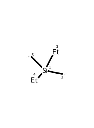 [CH2][Si]([CH2])(CC)CC